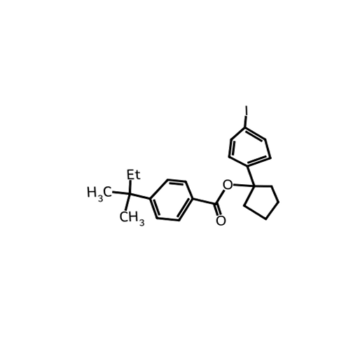 CCC(C)(C)c1ccc(C(=O)OC2(c3ccc(I)cc3)CCCC2)cc1